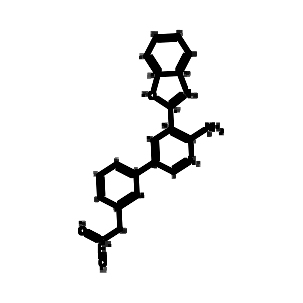 Nc1ncc(-c2cccc(C[SH](=O)=O)c2)cc1-c1nc2ccccc2o1